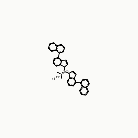 C[Si](C)=[Zr+2]([CH]1C=Cc2c(-c3cccc4ccccc34)cccc21)[CH]1C=Cc2c(-c3cccc4ccccc34)cccc21.[Cl-].[Cl-]